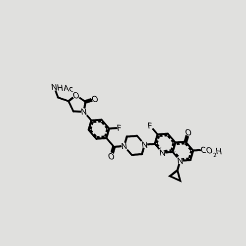 CC(=O)NCC1CN(c2ccc(C(=O)N3CCN(c4nc5c(cc4F)c(=O)c(C(=O)O)cn5C4CC4)CC3)c(F)c2)C(=O)O1